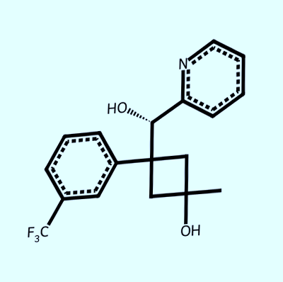 CC1(O)CC(c2cccc(C(F)(F)F)c2)([C@H](O)c2ccccn2)C1